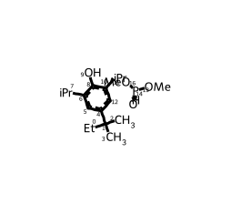 CCC(C)(C)c1cc(C(C)C)c(O)c(C(C)C)c1.CO[PH](=O)OC